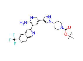 CC(C)(C)OC(=O)N1CCC(n2cc(-c3cnc(N)c(-c4cc5cc(C(F)(F)F)ccc5cn4)c3)cn2)CC1